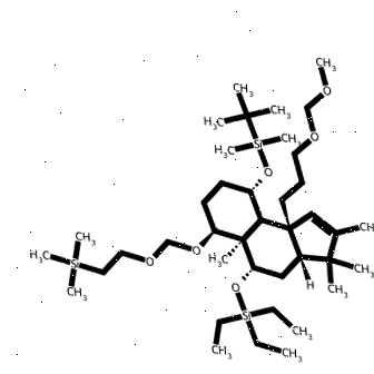 CC[Si](CC)(CC)O[C@H]1C[C@H]2C(C)(C)C(C)=C[C@@]2(CCCOCOC)C2[C@@H](O[Si](C)(C)C(C)(C)C)CC[C@H](OCOCC[Si](C)(C)C)[C@@]21C